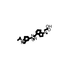 CC(C)n1ncc2cc(-c3nc(-c4cccc5c4CCC5N(C)CC(=O)O)no3)ccc21